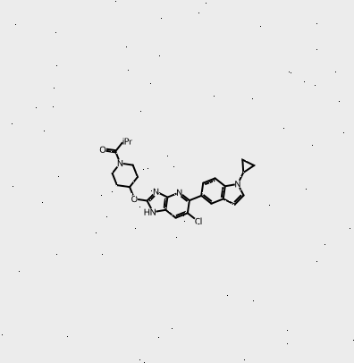 CC(C)C(=O)N1CCC(Oc2nc3nc(-c4ccc5c(ccn5C5CC5)c4)c(Cl)cc3[nH]2)CC1